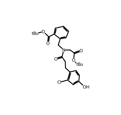 CC(C)(C)OC(=O)CN(Cc1ccccc1C(=O)OC(C)(C)C)C(=O)CCc1ccc(O)cc1Cl